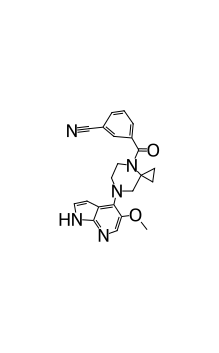 COc1cnc2[nH]ccc2c1N1CCN(C(=O)c2cccc(C#N)c2)C2(CC2)C1